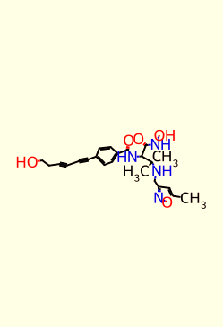 Cc1cc(CNC(C)(C)C(NC(=O)c2ccc(C#CC#CCCO)cc2)C(=O)NO)no1